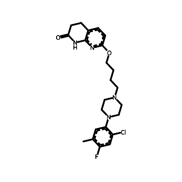 Cc1cc(N2CCN(CCCCOc3ccc4c(n3)NC(=O)CC4)CC2)c(Cl)cc1F